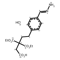 CCOC(=O)C(CCc1ccc(C=NN)cc1)(CC(=O)O)C(=O)OCC.Cl